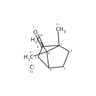 CC12CCC(CC1=O)C2(C)C.[C]